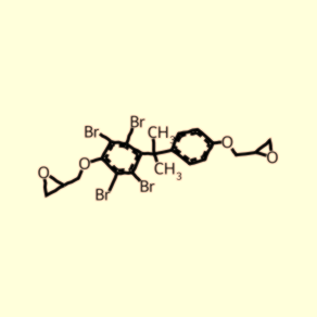 CC(C)(c1ccc(OCC2CO2)cc1)c1c(Br)c(Br)c(OCC2CO2)c(Br)c1Br